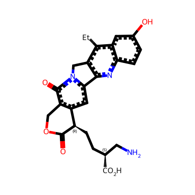 CCc1c2c(nc3ccc(O)cc13)-c1cc3c(c(=O)n1C2)COC(=O)[C@@H]3CC[C@@H](CN)C(=O)O